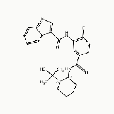 CC(C)(O)[C@H]1CCCC[C@@H]1NC(=O)c1ccc(F)c(NC(=O)c2cnc3ccccn23)c1